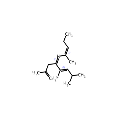 C=C(C)CC(=N/C(C)=C\CC)/C(F)=C/C(C)C